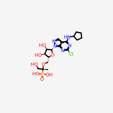 C[C@@](CO)(OC[C@H]1O[C@@H](n2ncc3c(NC4CCCC4)nc(Cl)nc32)[C@H](O)[C@@H]1O)P(=O)(O)O